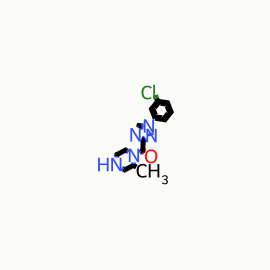 CC1CNCCN1C(=O)c1ncn(-c2cccc(Cl)c2)n1